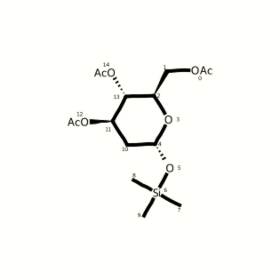 CC(=O)OC[C@H]1O[C@H](O[Si](C)(C)C)C[C@@H](OC(C)=O)[C@@H]1OC(C)=O